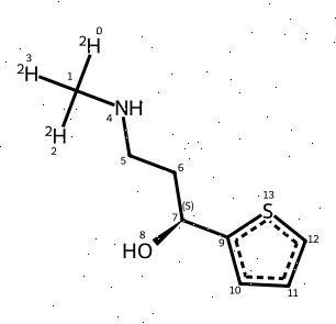 [2H]C([2H])([2H])NCC[C@H](O)c1cccs1